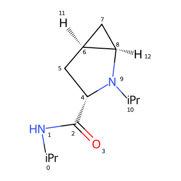 CC(C)NC(=O)[C@@H]1C[C@H]2C[C@H]2N1C(C)C